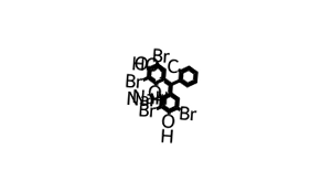 O=C(O)c1ccccc1-c1c2cc(Br)c(=O)c(Br)c-2oc2c(Br)c(O)c(Br)cc12.[NaH].[NaH]